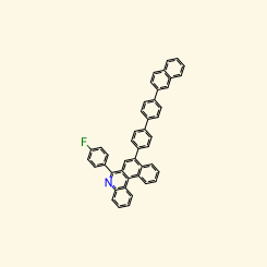 Fc1ccc(-c2nc3ccccc3c3c2cc(-c2ccc(-c4ccc(-c5ccc6ccccc6c5)cc4)cc2)c2ccccc23)cc1